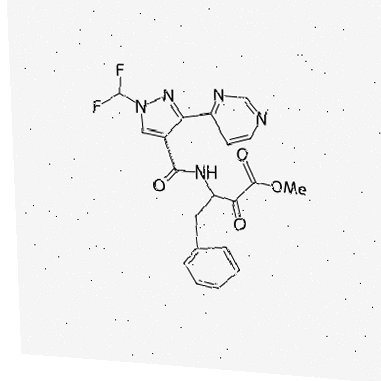 COC(=O)C(=O)C(Cc1ccccc1)NC(=O)c1cn(C(F)F)nc1-c1ccncn1